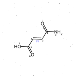 NC(=O)/C=C/C(=O)O